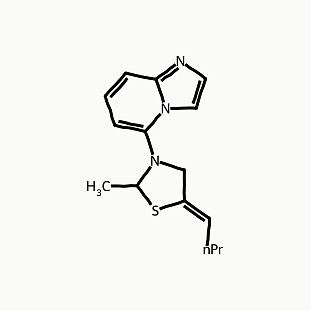 CCCC=C1CN(c2cccc3nccn23)C(C)S1